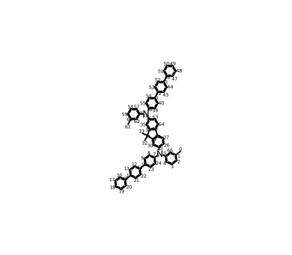 Cc1cccc(N(c2ccc(-c3ccc(-c4ccccc4)cc3)cc2)c2ccc3c(c2)C(C)(C)c2cc(N(c4ccc(-c5ccc(-c6ccccc6)cc5)cc4)c4cccc(C)c4)ccc2-3)c1